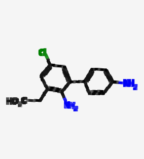 Nc1ccc(-c2cc(Cl)cc(CC(=O)O)c2N)cc1